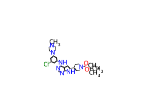 CN1CCN(c2cc(Cl)cc(Nc3ncnc4[nH]c(C5=CCN(C(=O)OC(C)(C)C)CC5)cc34)c2)CC1